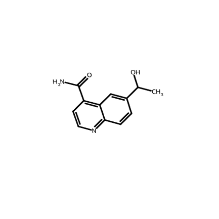 CC(O)c1ccc2nccc(C(N)=O)c2c1